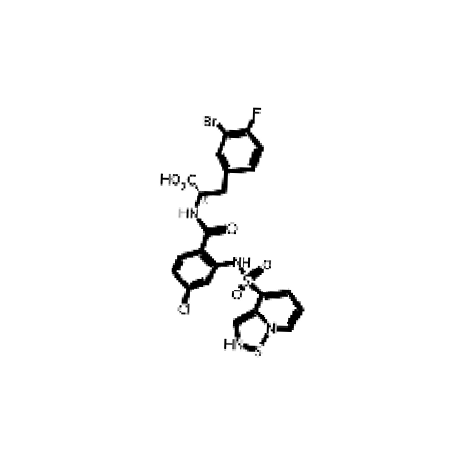 O=C(N[C@@H](Cc1ccc(F)c(Br)c1)C(=O)O)c1ccc(Cl)cc1NS(=O)(=O)C1=CC=CN2SNC=C12